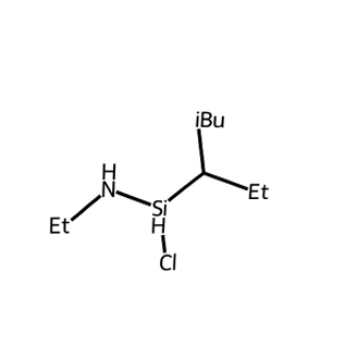 CCN[SiH](Cl)C(CC)C(C)CC